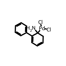 N[C]1([Pd]([Cl])[Cl])CC=CC=C1c1ccccc1